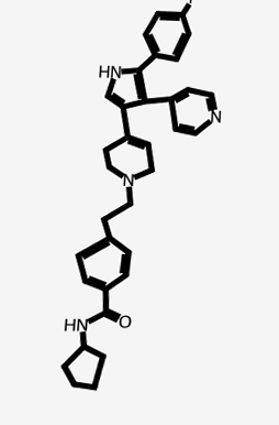 O=C(NC1CCCC1)c1ccc(CCN2CC=C(c3c[nH]c(-c4ccc(F)cc4)c3-c3ccncc3)CC2)cc1